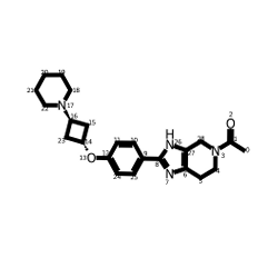 CC(=O)N1CCc2nc(-c3ccc(O[C@H]4C[C@H](N5CCCCC5)C4)cc3)[nH]c2C1